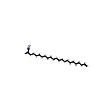 [CH2]C(C#N)CCCCCCCCCCCCCCCCCCCC=C